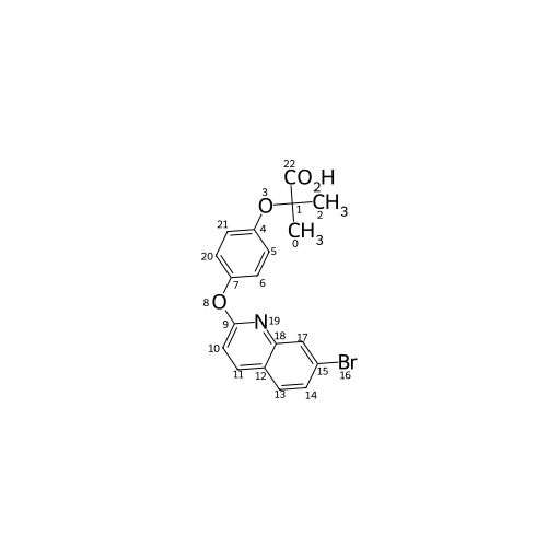 CC(C)(Oc1ccc(Oc2ccc3ccc(Br)cc3n2)cc1)C(=O)O